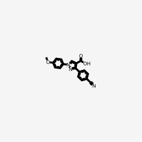 COc1ccc(-n2cc(C(=O)O)c(-c3ccc(C#N)cc3)n2)cc1